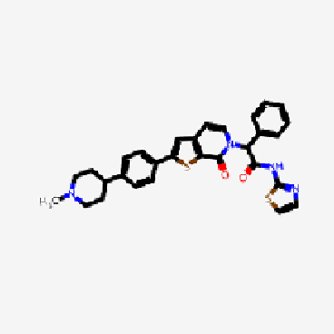 CN1CCC(c2ccc(-c3cc4ccn(C(C(=O)Nc5nccs5)c5ccccc5)c(=O)c4s3)cc2)CC1